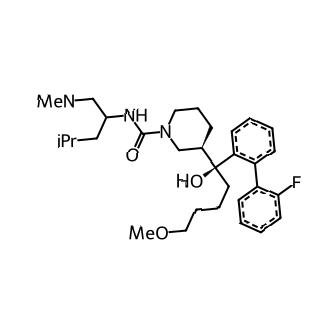 CNCC(CC(C)C)NC(=O)N1CCC[C@@H]([C@@](O)(CCCCOC)c2ccccc2-c2ccccc2F)C1